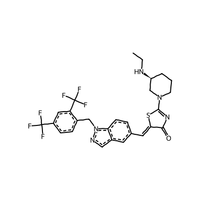 CCN[C@H]1CCCN(C2=NC(=O)/C(=C/c3ccc4c(cnn4Cc4ccc(C(F)(F)F)cc4C(F)(F)F)c3)S2)C1